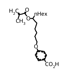 C=C(C)C(=O)OC(CCCCCC)CCCCCOc1ccc(C(=O)O)cc1